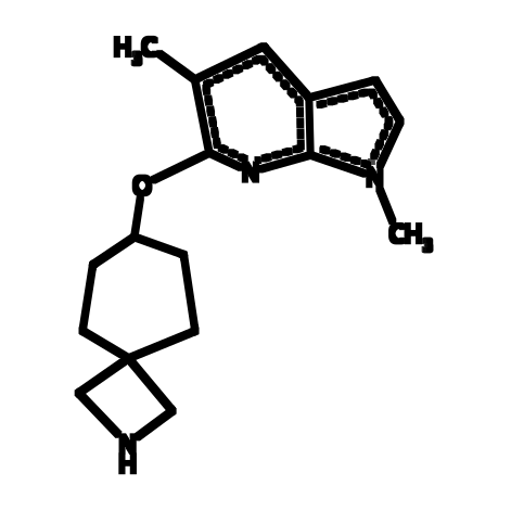 Cc1cc2ccn(C)c2nc1OC1CCC2(CC1)CNC2